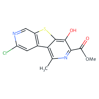 COC(=O)c1nc(C)c2c(sc3cnc(Cl)cc32)c1O